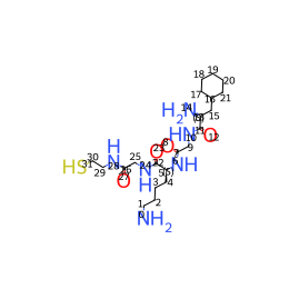 NCCCC[C@H](NC(=O)CNC(=O)[C@@H](N)CC1CCCCC1)C(=O)NCC(=O)NCCS